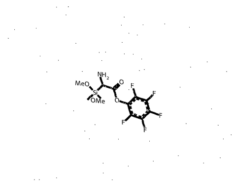 CO[Si](C)(OC)C(N)C(=O)Oc1c(F)c(F)c(F)c(F)c1F